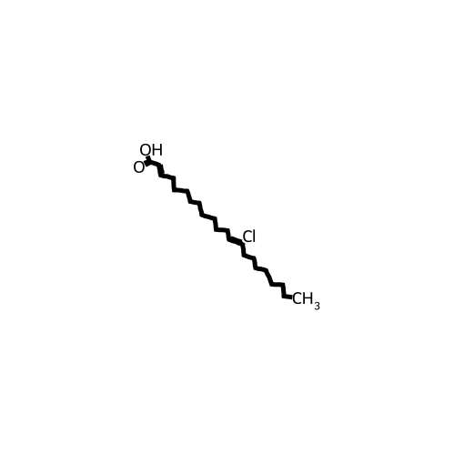 CCCCCCCCC(Cl)=CCCCCCCCCC/C=C/C(=O)O